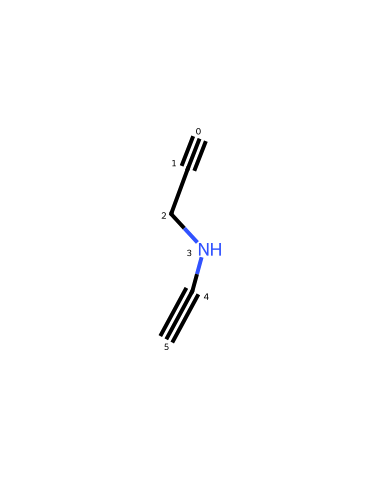 C#CCNC#C